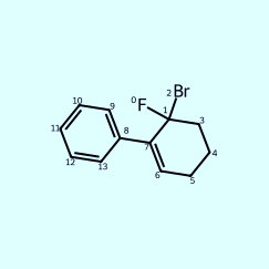 FC1(Br)CCCC=C1c1ccccc1